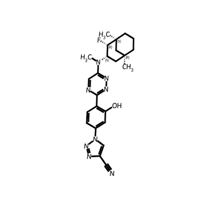 CN(c1cnc(-c2ccc(-n3cc(C#N)nn3)cc2O)nn1)[C@H]1C[C@]2(C)CCC[C@@](C)(C2)[C@H]1F